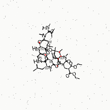 CCCC(=O)N(C)[C@H](CC(C(=O)OCC)C(=O)OCC)C(=O)N(C)[C@@H](CC(C)(C)O)C(=O)N[C@H](C(=O)N(C)[C@@H](CC(C)C)C(=O)N[C@H](C)C(=O)N[C@@H](C)C(=O)N(C)[C@@H](CC(C)C)C(=O)N(C)C(=O)NC)C(C)C